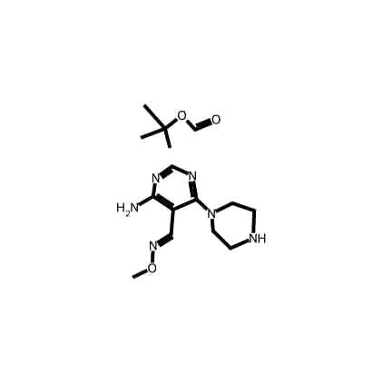 CC(C)(C)OC=O.CON=Cc1c(N)ncnc1N1CCNCC1